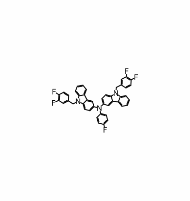 Fc1ccc(N(c2ccc3c(c2)c2ccccc2n3Cc2ccc(F)c(F)c2)c2ccc3c(c2)c2ccccc2n3Cc2ccc(F)c(F)c2)cc1